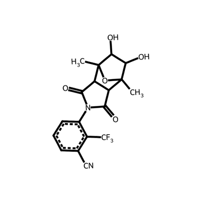 CC12OC(C)(C(O)C1O)C1C(=O)N(c3cccc(C#N)c3C(F)(F)F)C(=O)C12